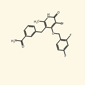 Cc1[nH]c(=O)c(Br)c(OCc2ccc(F)cc2F)c1Cc1cccc(C(N)=O)c1